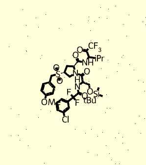 COc1ccc(CS(=O)(=O)[C@@H]2C[C@@H](C(=O)NC(C(=O)C(F)(F)F)C(C)C)N(C(=O)C(CO[Si](C)(C)C(C)(C)C)NC(=O)C(F)(F)c3cccc(Cl)c3)C2)cc1